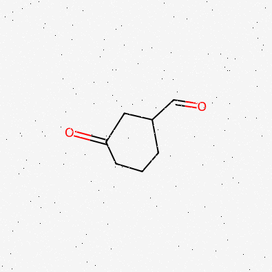 O=CC1CCCC(=O)C1